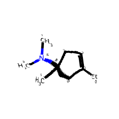 CCC1=CCC(C)(N(C)C)C1